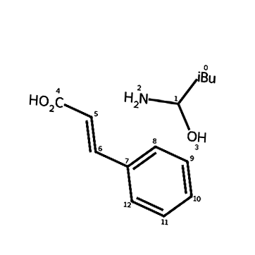 CCC(C)C(N)O.O=C(O)C=Cc1ccccc1